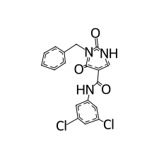 O=C(Nc1cc(Cl)cc(Cl)c1)c1c[nH]c(=O)n(Cc2ccccc2)c1=O